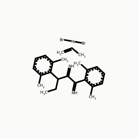 C=CC.CCC(C(=N)C(=N)c1c(C)cccc1C)c1c(C)cccc1C.[Br][Ni][Br]